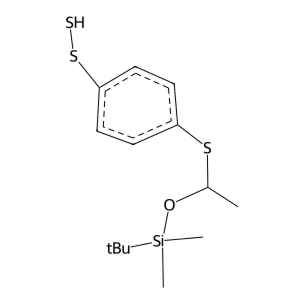 CC(O[Si](C)(C)C(C)(C)C)Sc1ccc(SS)cc1